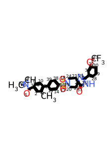 Cc1cc(C(=O)N(C)C)ccc1-c1ccc(S(=O)(=O)N2CCC3(CC2)N=C(c2cccc(OC(F)(F)F)c2)NC3=O)cc1